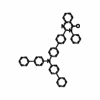 O=c1c2ccccc2nc(-c2ccc(-c3ccc(N(c4ccc(-c5ccccc5)cc4)c4ccc(-c5ccccc5)cc4)cc3)cc2)n1-c1ccccc1